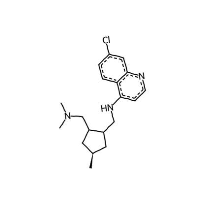 C[C@@H]1CC(CNc2ccnc3cc(Cl)ccc23)C(CN(C)C)C1